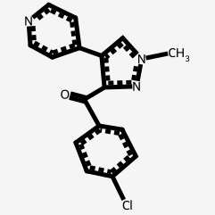 Cn1cc(-c2ccncc2)c(C(=O)c2ccc(Cl)cc2)n1